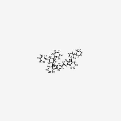 C1=CCC(C2=CC=CC(N3C4=C(C=C(c5ccc6c(c5)N(C5=NC(C7=CCCC=C7)CC(c7ccccc7)=C5)C5CCCCC65)CC4)C4CCC=CC43)C2)C=C1